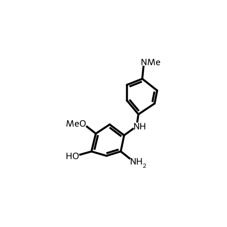 CNc1ccc(Nc2cc(OC)c(O)cc2N)cc1